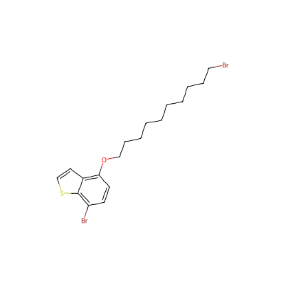 BrCCCCCCCCCCOc1ccc(Br)c2sccc12